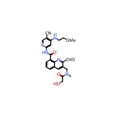 COCCNc1cc(NC(=O)c2cccc3cc(CN(C)C(=O)CO)c(C=O)nc23)ncc1C#N